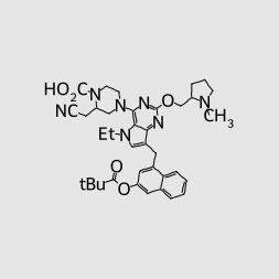 CCn1cc(Cc2cc(OC(=O)C(C)(C)C)cc3ccccc23)c2nc(OCC3CCCN3C)nc(N3CCN(C(=O)O)C(CC#N)C3)c21